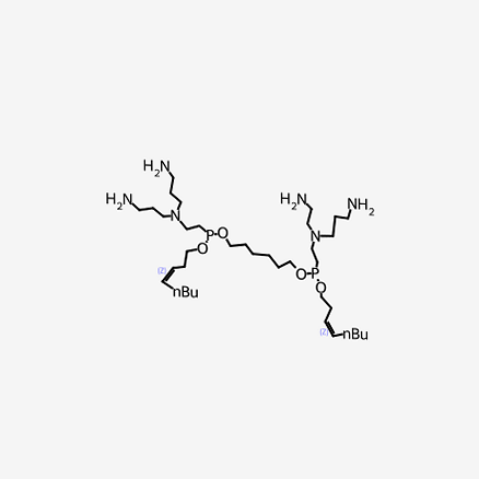 CCCC/C=C\CCOP(CCN(CCN)CCCN)OCCCCCCOP(CCN(CCCN)CCCN)OCC/C=C\CCCC